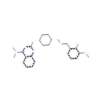 COc1cccc(CNC[C@H]2CC[C@@H](Nc3nc(N(C)C)c4ccccc4n3)CC2)c1O